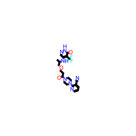 CC(COCCC(=O)N1CCN(c2ncccc2C#N)CC1)Nc1cn[nH]c(=O)c1C(F)(F)F